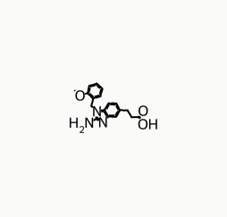 COc1ccccc1Cn1c(N)nc2cc(CCC(=O)O)ccc21